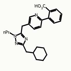 CCCn1nc(CC2CCCCC2)nc1Cc1ccc(-c2ccccc2C(=O)O)nc1